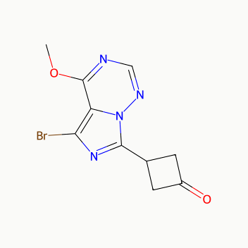 COc1ncnn2c(C3CC(=O)C3)nc(Br)c12